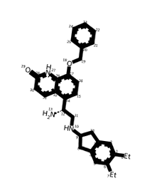 CCc1cc2c(cc1CC)CC(NC[C@H](N)c1ccc(OCc3ccccc3)c3[nH]c(=O)ccc13)C2